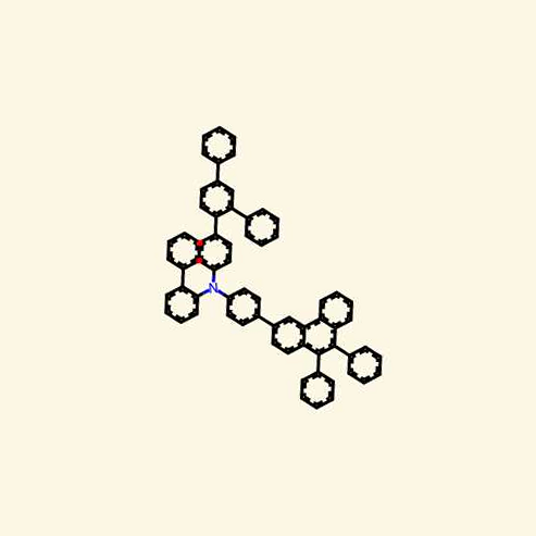 c1ccc(-c2ccc(-c3ccc(N(c4ccc(-c5ccc6c(-c7ccccc7)c(-c7ccccc7)c7ccccc7c6c5)cc4)c4ccccc4-c4ccccc4)cc3)c(-c3ccccc3)c2)cc1